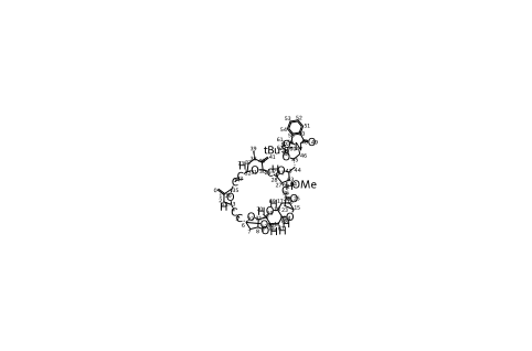 C=C1C[C@@H]2CC[C@@]34CC5O[C@H]6[C@@H](O3)[C@H]3OC(CC[C@@H]3O[C@H]6C5O4)CC(=O)C[C@H]3[C@H](CC4O[C@@H](CCC1O2)C[C@@H](C)C4=C)OC(C[C@@H](CN1C(=O)c2ccccc2C1=O)O[Si](C)(C)C(C)(C)C)[C@@H]3OC